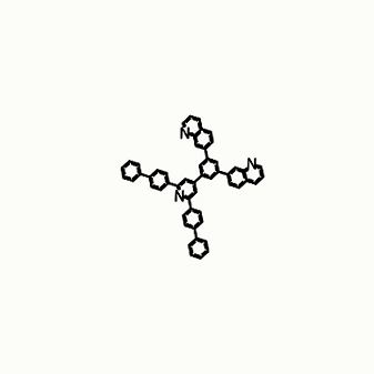 c1ccc(-c2ccc(-c3cc(-c4cc(-c5ccc6cccnc6c5)cc(-c5ccc6cccnc6c5)c4)cc(-c4ccc(-c5ccccc5)cc4)n3)cc2)cc1